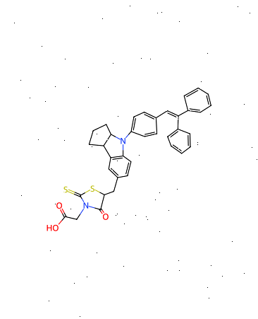 O=C(O)CN1C(=O)C(Cc2ccc3c(c2)C2CCCC2N3c2ccc(C=C(c3ccccc3)c3ccccc3)cc2)SC1=S